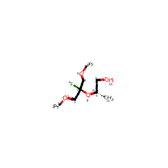 CC(C)OCC(F)(COC(C)C)O[C@@H](C)CO